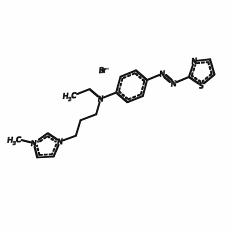 CCN(CCCn1cc[n+](C)c1)c1ccc(N=Nc2nccs2)cc1.[Br-]